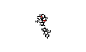 O=c1c2ccccc2oc2ccc(Cc3ccc4c(c3)C3(c5ccccc5N4)c4ccccc4Oc4ccccc43)cc12